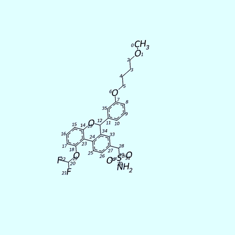 COCCCCOc1cccc(C2Oc3cccc(OC(F)F)c3-c3ccc(CS(N)(=O)=O)cc32)c1